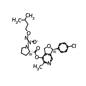 Cc1ncc2c(c1OC(=O)[C@@H]1CCCN1[N+]([O-])=NOCCC(C)C)CO[C@H]2c1ccc(Cl)cc1